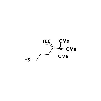 C=C(CCCS)[Si](OC)(OC)OC